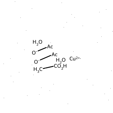 CC(=O)O.CC(=O)[O-].CC(=O)[O-].O.O.[Cu+2]